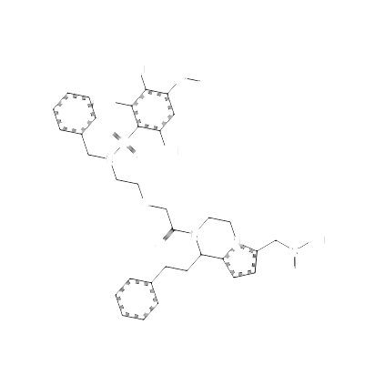 COc1cc(C)c(S(=O)(=O)N(CCOCC(=O)N2CCn3c(CN(C)C)ccc3C2CCc2ccccc2)Cc2ccccc2)c(C)c1C